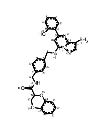 Bc1cnn2c(NCc3ccc(CNC(=O)C4COc5ccccc5O4)cc3)cc(-c3ccccc3O)nc12